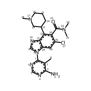 Cc1c(N)ncnc1-n1cnc2c(C3CCCN(C)C3)c(C(=O)N(C)C)c(Cl)cc21